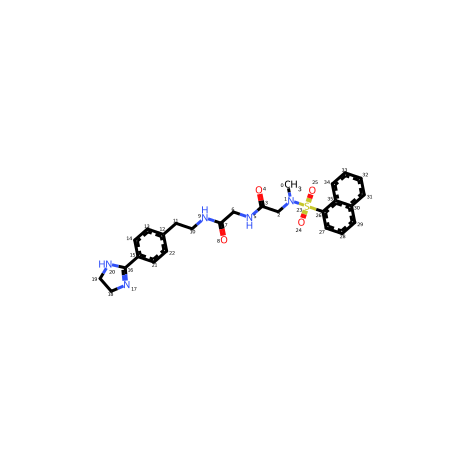 CN(CC(=O)NCC(=O)NCCc1ccc(C2=NCCN2)cc1)S(=O)(=O)c1cccc2ccccc12